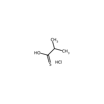 CC(C)C(O)=S.Cl